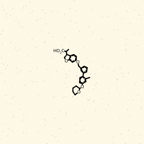 Cc1cc(OC2CCCCO2)ccc1-c1cccc(COc2ccc3c(c2)OCC3C(C)C(=O)O)c1